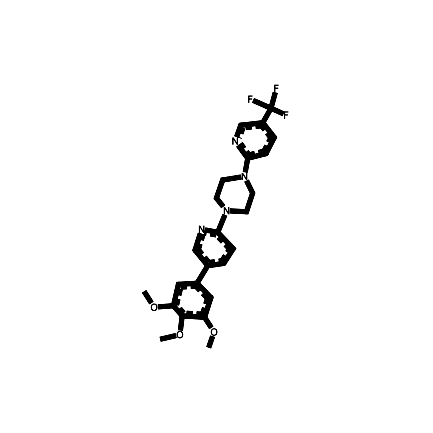 COc1cc(-c2ccc(N3CCN(c4ccc(C(F)(F)F)cn4)CC3)nc2)cc(OC)c1OC